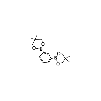 CC1(C)COB(c2cccc(B3OCC(C)(C)CO3)c2)OC1